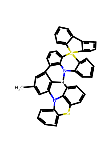 Cc1cc2c3c(c1)N1c4ccccc4Sc4cccc(c41)B3N1c3ccccc3S3(c4ccccc4-c4ccccc43)c3cccc-2c31